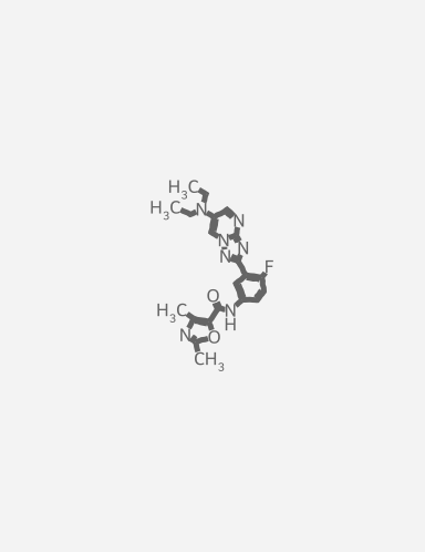 CCN(CC)c1cnc2nc(-c3cc(NC(=O)c4oc(C)nc4C)ccc3F)nn2c1